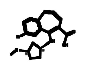 CO[C@H]1CC[C@H](NC2=C(C(=O)O)C=C=Cc3ccc(Br)cc32)C1